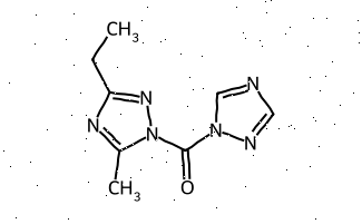 CCc1nc(C)n(C(=O)n2cncn2)n1